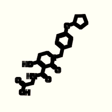 O=C(O)CNC(=O)C1=C(O)CCN(Cc2ccc(OC3CCCC3)cc2)C1=O